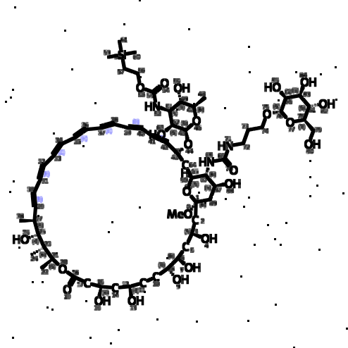 CO[C@]12C[C@@H](O)C[C@@H](O)[C@H](O)CC[C@@H](O)C[C@@H](O)CC(=O)O[C@@H](C)[C@H](C)[C@H](O)[C@@H](C)/C=C/C=C/C=C/C=C/C=C/C=C/C=C/[C@H](O[C@@H]3O[C@H](C)[C@@H](O)[C@H](NC(=O)OCC[Si](C)(C)C)[C@@H]3O)C[C@H](O1)[C@H](NC(=O)NCCCO[C@H]1O[C@H](CO)[C@@H](O)[C@H](O)[C@@H]1O)[C@@H](O)C2